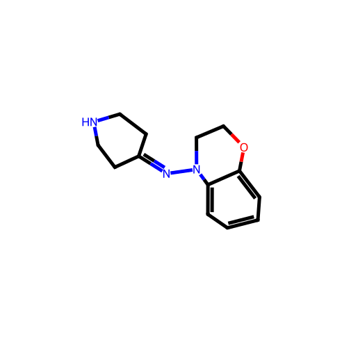 c1ccc2c(c1)OCCN2N=C1CCNCC1